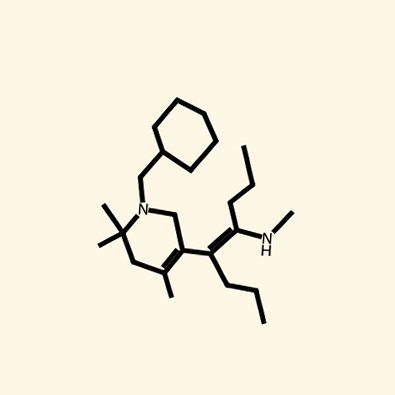 CCC/C(NC)=C(/CCC)C1=C(C)CC(C)(C)N(CC2CCCCC2)C1